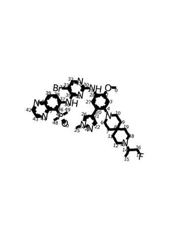 COc1cc(N2CCC3(CC2)CCN(C(C)CF)CC3)c(-c2cnn(C)c2)cc1Nc1ncc(Br)c(Nc2ccc3nccnc3c2P(C)(C)=O)n1